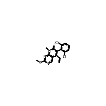 C=Cc1c(-c2c(Cl)cccc2Cl)c(=O)n(C)c2nc(SC)ncc12